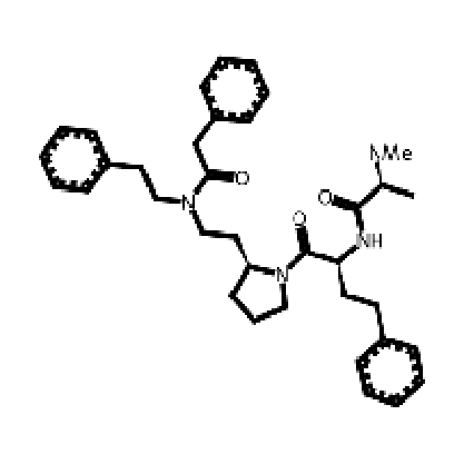 CN[C@@H](C)C(=O)N[C@@H](CCc1ccccc1)C(=O)N1CCC[C@H]1CCN(CCc1ccccc1)C(=O)Cc1ccccc1